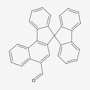 O=Cc1cc2c(c3ccccc13)-c1ccccc1C21c2ccccc2-c2ccccc21